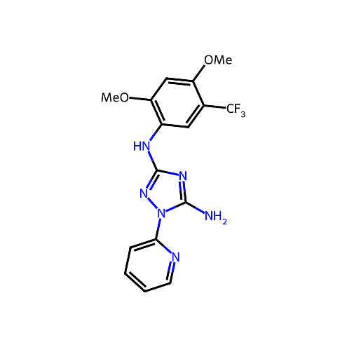 COc1cc(OC)c(C(F)(F)F)cc1Nc1nc(N)n(-c2ccccn2)n1